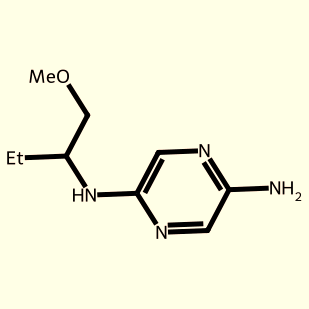 CCC(COC)Nc1cnc(N)cn1